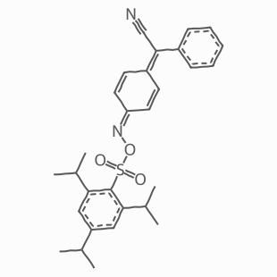 CC(C)c1cc(C(C)C)c(S(=O)(=O)ON=C2C=CC(=C(C#N)c3ccccc3)C=C2)c(C(C)C)c1